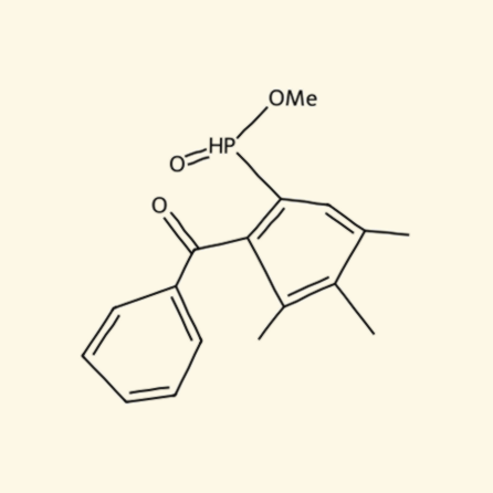 CO[PH](=O)c1cc(C)c(C)c(C)c1C(=O)c1ccccc1